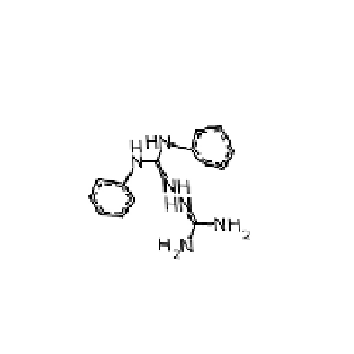 N=C(N)N.N=C(Nc1ccccc1)Nc1ccccc1